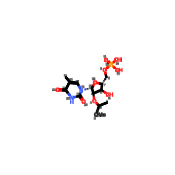 COC(C)O[C@@H]1[C@H](O)[C@@H](COP(=O)(O)O)O[C@H]1n1cc(C)c(=O)[nH]c1=O